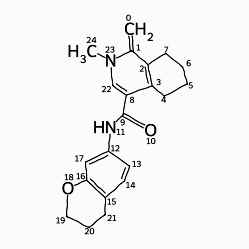 C=C1C2=C(CCCC2)C(C(=O)Nc2ccc3c(c2)OCCC3)=CN1C